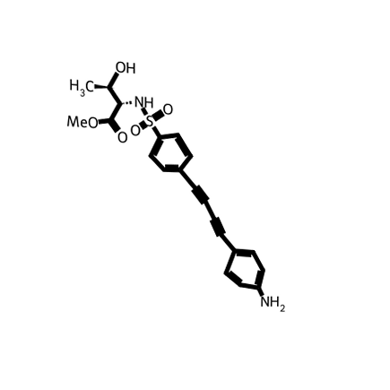 COC(=O)[C@@H](NS(=O)(=O)c1ccc(C#CC#Cc2ccc(N)cc2)cc1)[C@@H](C)O